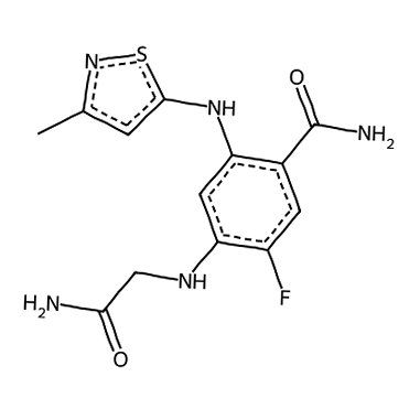 Cc1cc(Nc2cc(NCC(N)=O)c(F)cc2C(N)=O)sn1